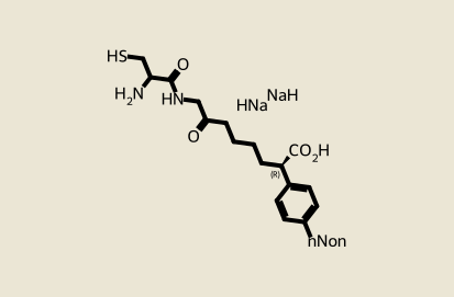 CCCCCCCCCc1ccc([C@@H](CCCCC(=O)CNC(=O)C(N)CS)C(=O)O)cc1.[NaH].[NaH]